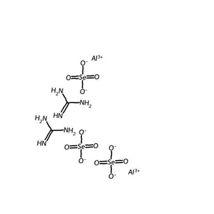 N=C(N)N.N=C(N)N.O=[Se](=O)([O-])[O-].O=[Se](=O)([O-])[O-].O=[Se](=O)([O-])[O-].[Al+3].[Al+3]